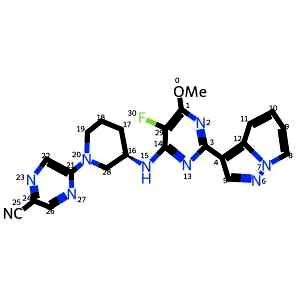 COc1nc(-c2cnn3ccccc23)nc(N[C@@H]2CCCN(c3cnc(C#N)cn3)C2)c1F